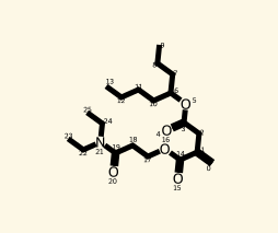 C=C(CC(=O)OC(CCC)CCCC)C(=O)OCCC(=O)N(CC)CC